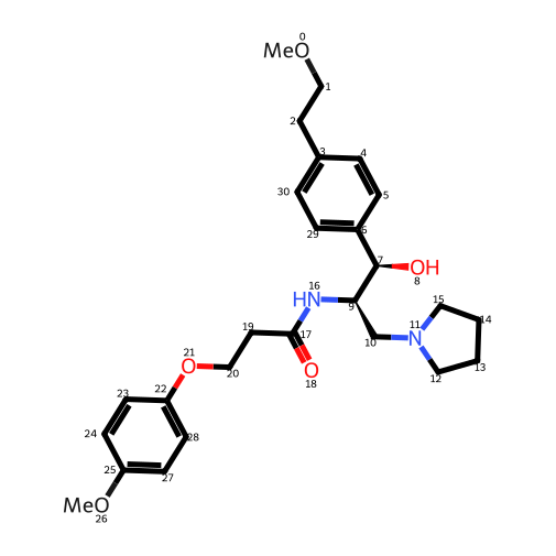 COCCc1ccc([C@@H](O)[C@@H](CN2CCCC2)NC(=O)CCOc2ccc(OC)cc2)cc1